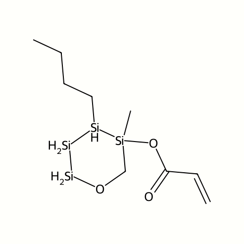 C=CC(=O)O[Si]1(C)CO[SiH2][SiH2][SiH]1CCCC